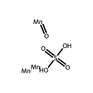 O=S(=O)(O)O.[Mn].[Mn].[O]=[Mn]